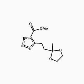 COC(=O)c1cnnn1CCC1(C)OCCO1